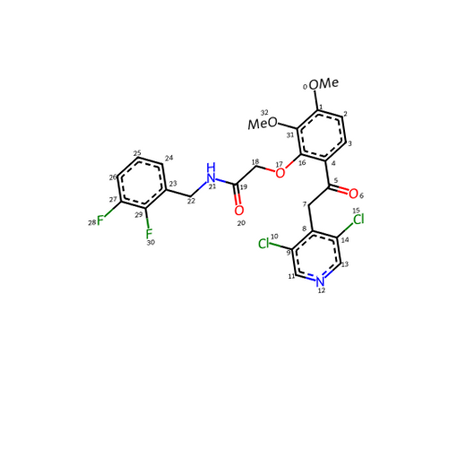 COc1ccc(C(=O)Cc2c(Cl)cncc2Cl)c(OCC(=O)NCc2cccc(F)c2F)c1OC